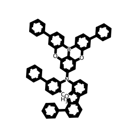 Cc1ccc(-c2ccccc2)cc1N(c1cc2c3c(c1)Oc1cc(-c4ccccc4)ccc1B3c1ccc(-c3ccccc3)cc1O2)c1cccc2c1oc1c(-c3ccccc3)cccc12